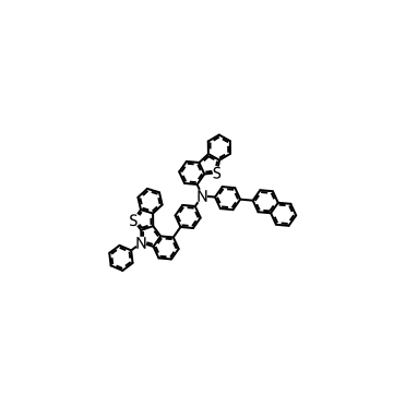 c1ccc(-n2c3cccc(-c4ccc(N(c5ccc(-c6ccc7ccccc7c6)cc5)c5cccc6c5sc5ccccc56)cc4)c3c3c4ccccc4sc32)cc1